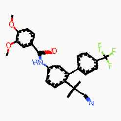 COc1ccc(C(=O)Nc2ccc(C(C)(C)C#N)c(-c3ccc(C(F)(F)F)cc3)c2)cc1OC